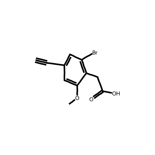 C#Cc1cc(Br)c(CC(=O)O)c(OC)c1